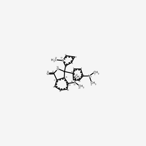 CN(C)c1ccc(C2(c3cccn3C)OC(=O)c3cccc(N(C)C)c32)cc1